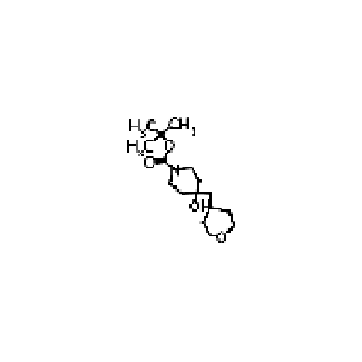 CC(C)(C)OC(=O)N1CCC(O)(CC2CCOCC2)CC1